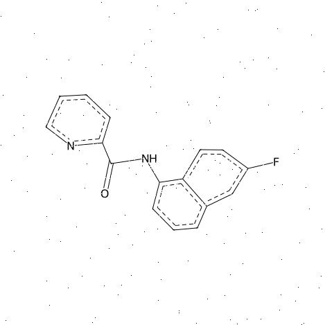 O=C(Nc1cccc2cc(F)ccc12)c1ccccn1